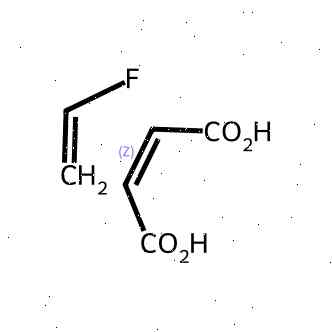 C=CF.O=C(O)/C=C\C(=O)O